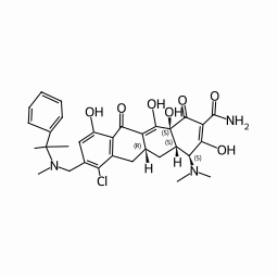 CN(C)[C@@H]1C(O)=C(C(N)=O)C(=O)[C@@]2(O)C(O)=C3C(=O)c4c(O)cc(CN(C)C(C)(C)c5ccccc5)c(Cl)c4C[C@H]3C[C@@H]12